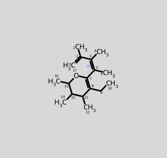 C=C(C)/C(C)=C(/C)C1=C(CC)C(C)C(C)C(C)O1